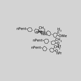 CCCCC[C@H]1CC[C@H](C2CCC(OC)C(C)C2)CC1.CCCCC[C@H]1CC[C@H](C2CCC(OCC)C(C)C2)CC1.CCCCC[C@H]1CC[C@H](C2CCC(OCCC)C(C)C2)CC1.CCCCC[C@H]1CC[C@H](C2CCC(OCCCC)C(C)C2)CC1